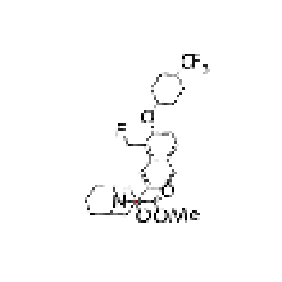 COC(=O)C1CC2CCCC(C1)N2C(=O)c1ccc2ccc(O[C@H]3CC[C@@H](C(F)(F)F)CC3)c(CF)c2c1